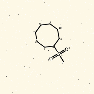 CS(=O)(=O)C1CC[CH]CCCC1